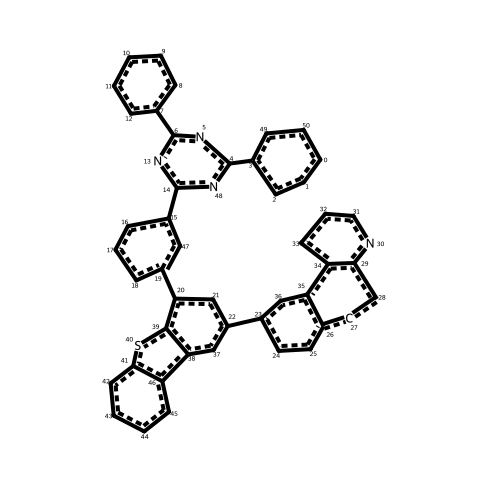 c1ccc(-c2nc(-c3ccccc3)nc(-c3cccc(-c4cc(-c5ccc6ccc7ncccc7c6c5)cc5c4sc4ccccc45)c3)n2)cc1